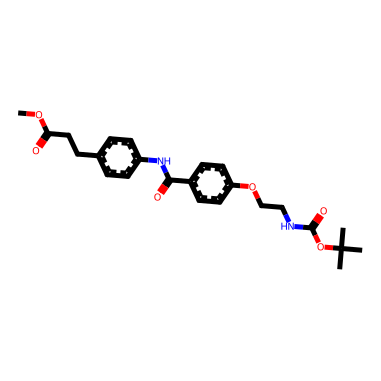 COC(=O)CCc1ccc(NC(=O)c2ccc(OCCNC(=O)OC(C)(C)C)cc2)cc1